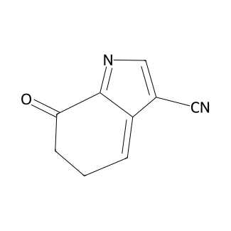 N#CC1=CN=C2C(=O)CCC=C12